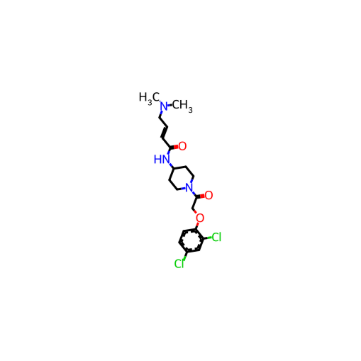 CN(C)C/C=C/C(=O)NC1CCN(C(=O)COc2ccc(Cl)cc2Cl)CC1